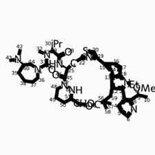 CCn1c(-c2cccnc2[C@H](C)OC)c2c3cc(ccc31)-c1csc(n1)C[C@H](NC(=O)[C@H](C(C)C)N(C)C(=O)N1CCCC[C@@H](N(C)C)C1)C(=O)N1CCCC(C=O)(COCC(C)(C)C2)N1